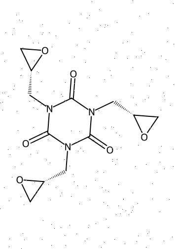 O=c1n(C[C@@H]2CO2)c(=O)n(C[C@@H]2CO2)c(=O)n1C[C@@H]1CO1